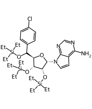 CC[Si](CC)(CC)OC(c1ccc(Cl)cc1)[C@H]1O[C@H](n2ccc3c(N)ncnc32)[C@H](O[Si](CC)(CC)CC)[C@@H]1O[Si](CC)(CC)CC